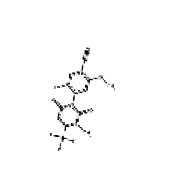 COc1cc(-n2c(=O)cc(C(F)(F)F)n(C)c2=O)c(F)cc1C#N